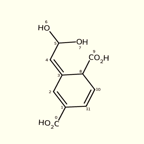 O=C(O)C1=CC(=CC(O)O)C(C(=O)O)C=C1